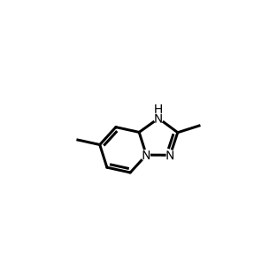 CC1=CC2NC(C)=NN2C=C1